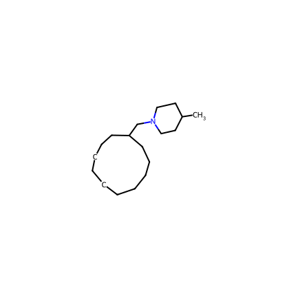 CC1CCN(CC2CCCCCCCCCC2)CC1